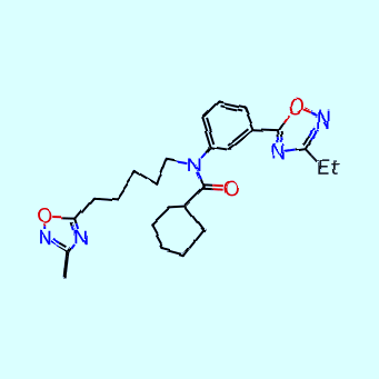 CCc1noc(-c2cccc(N(CCCCCc3nc(C)no3)C(=O)C3CCCCC3)c2)n1